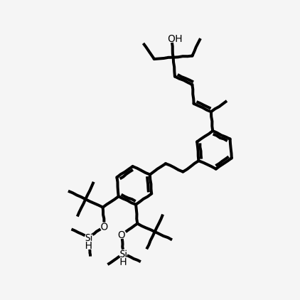 CCC(O)(C=CC=C(C)c1cccc(CCc2ccc(C(O[SiH](C)C)C(C)(C)C)c(C(O[SiH](C)C)C(C)(C)C)c2)c1)CC